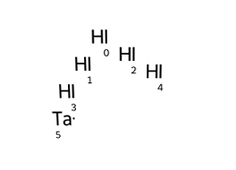 I.I.I.I.I.[Ta]